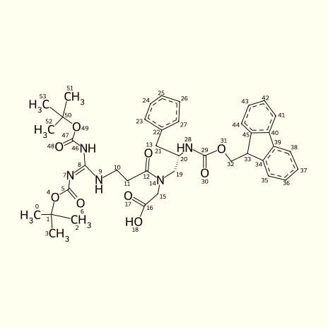 CC(C)(C)OC(=O)/N=C(\NCCC(=O)N(CC(=O)O)C[C@H](Cc1ccccc1)NC(=O)OCC1c2ccccc2-c2ccccc21)NC(=O)OC(C)(C)C